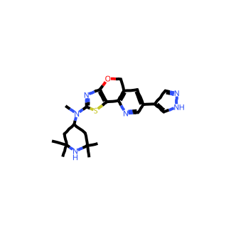 CN(c1nc2c(s1)-c1ncc(-c3cn[nH]c3)cc1CO2)C1CC(C)(C)NC(C)(C)C1